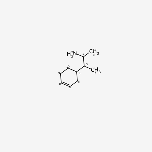 CC(N)C(C)C1CC=CCC1